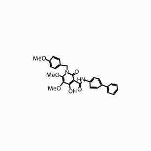 COc1ccc(Cn2c(OC)c(OC)c(O)c(C(=O)Nc3ccc(-c4ccccc4)cc3)c2=O)cc1